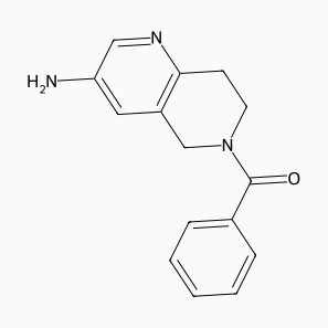 Nc1cnc2c(c1)CN(C(=O)c1ccccc1)CC2